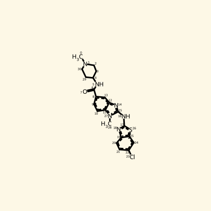 CN1CCC(NC(=O)c2ccc3c(c2)nc(Nc2nc4ccc(Cl)cc4s2)n3C)CC1